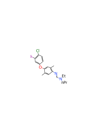 CCCN(C=Nc1cc(C)c(Oc2ccc(Cl)c(I)c2)cc1C)CC